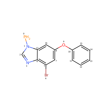 Pn1cnc2c(Br)cc(Oc3ccccc3)cc21